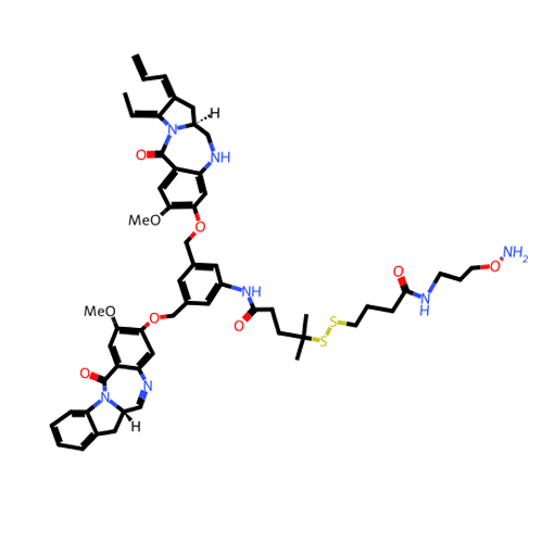 C=C/C=C1/C[C@H]2CNc3cc(OCc4cc(COc5cc6c(cc5OC)C(=O)N5c7ccccc7C[C@H]5C=N6)cc(NC(=O)CCC(C)(C)SSCCCC(=O)NCCCON)c4)c(OC)cc3C(=O)N2/C1=C/C